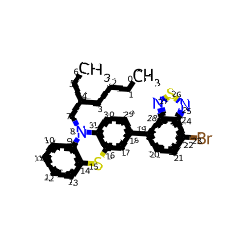 CCCCC(CC)CN1c2ccccc2Sc2cc(-c3ccc(Br)c4nsnc34)ccc21